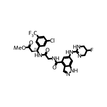 COC(=O)C[C@H](NC(=O)CNC(=O)c1cc(NC2=NCC(F)CN2)cc2[nH]ncc12)c1cc(Cl)cc(C(F)(F)F)c1